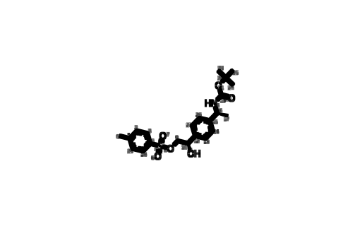 Cc1ccc(S(=O)(=O)OC[C@H](O)c2ccc([C@H](C)NC(=O)OC(C)(C)C)cc2)cc1